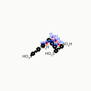 NC(=O)Nc1ccccc1.NC(=O)Nc1ccccc1.NC(=O)Nc1ccccc1.NC(=O)Nc1ccccc1.O=S(=O)(O)c1ccc(C=Cc2ccc(S(=O)(=O)O)cc2)cc1.O=S(=O)(O)c1ccc(C=Cc2ccc(S(=O)(=O)O)cc2)cc1